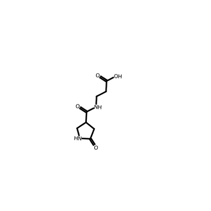 O=C(O)CCNC(=O)C1CNC(=O)C1